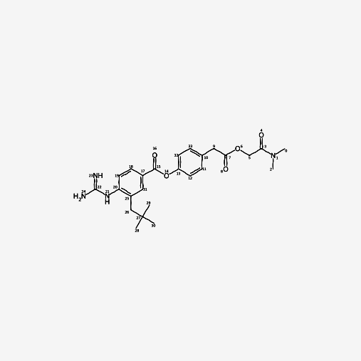 CN(C)C(=O)COC(=O)Cc1ccc(OC(=O)c2ccc(NC(=N)N)c(CC(C)(C)C)c2)cc1